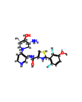 COc1ccc(F)c(-c2nc(C(=O)Nc3cnccc3N3C[C@@H](N)[C@H](O)[C@@H](C)C3)cs2)c1F